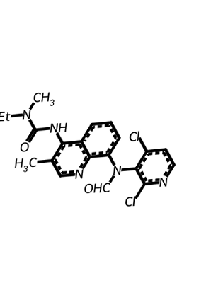 CCN(C)C(=O)Nc1c(C)cnc2c(N(C=O)c3c(Cl)ccnc3Cl)cccc12